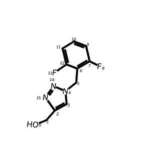 OCc1cn(Cc2c(F)cccc2F)nn1